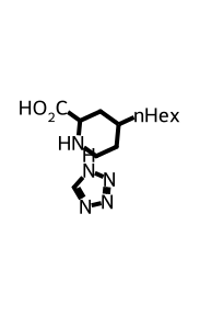 CCCCCCC1CCNC(C(=O)O)C1.c1nnn[nH]1